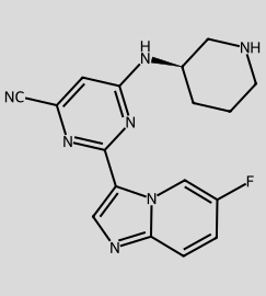 N#Cc1cc(N[C@@H]2CCCNC2)nc(-c2cnc3ccc(F)cn23)n1